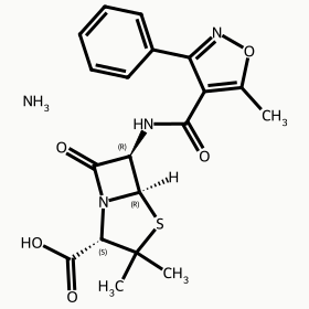 Cc1onc(-c2ccccc2)c1C(=O)N[C@@H]1C(=O)N2[C@@H]1SC(C)(C)[C@@H]2C(=O)O.N